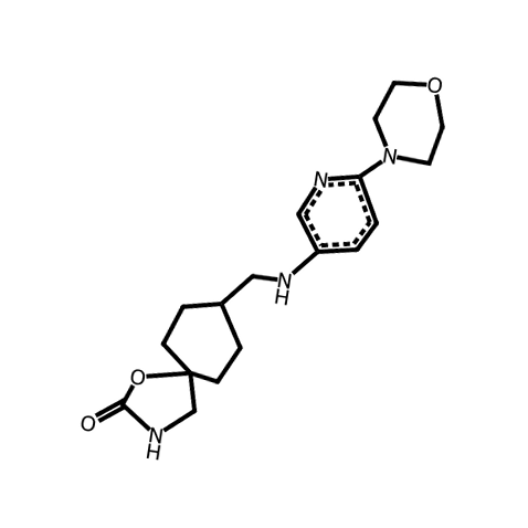 O=C1NCC2(CCC(CNc3ccc(N4CCOCC4)nc3)CC2)O1